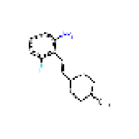 CC1CCC(/C=C/c2c(N)cccc2F)CC1